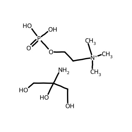 C[N+](C)(C)CCOP(=O)(O)O.NC(O)(CO)CO